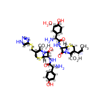 C/C=C\C1=C(C(=O)O)N2C(=O)[C@@H](NC(=O)[C@H](N)c3ccc(O)cc3)[C@H]2SC1.N[C@@H](C(=O)N[C@@H]1C(=O)N2C(C(=O)O)=C(CSc3c[nH]nn3)CS[C@H]12)c1ccc(O)cc1.O